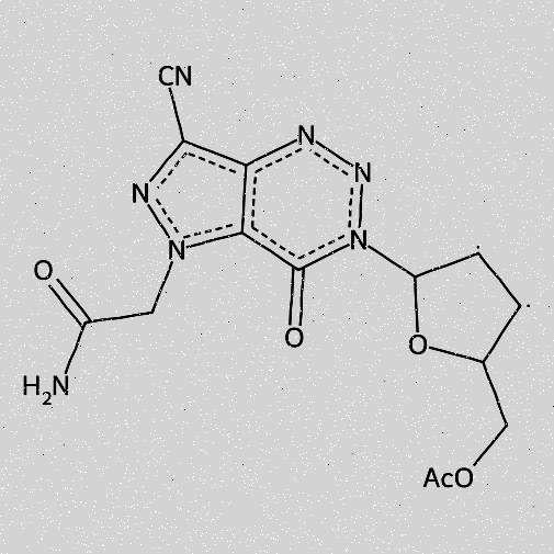 CC(=O)OCC1[CH][CH]C(n2nnc3c(C#N)nn(CC(N)=O)c3c2=O)O1